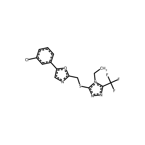 CCn1c(SCc2ncc(-c3cccc(Cl)c3)o2)nnc1C(F)(F)F